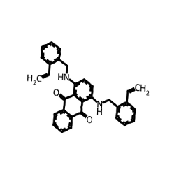 C=Cc1ccccc1CNc1ccc(NCc2ccccc2C=C)c2c1C(=O)c1ccccc1C2=O